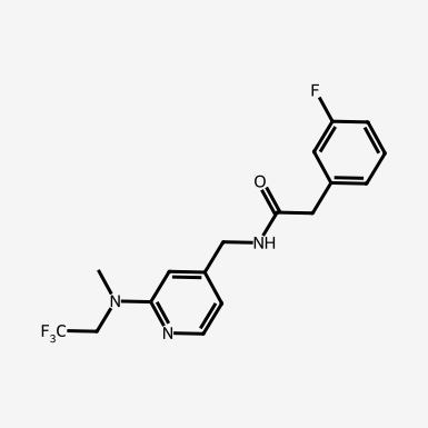 CN(CC(F)(F)F)c1cc(CNC(=O)Cc2cccc(F)c2)ccn1